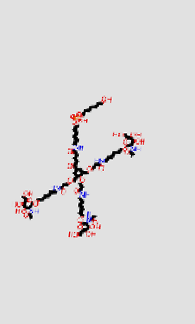 CC(=O)NC1C(OCCCCCCNC(=O)CCOCC2CC(C(=O)CCCC(=O)NCCCCCCOP(=O)(O)OCCCCCCCO)CC(COCCC(=O)NCCCCCCOC3OC(CO)C(O)C(O)C3NC(C)=O)C2OCCC(=O)NCCCCCCOC2OC(CO)C(O)C(O)C2NC(C)=O)OC(CO)C(O)C1O